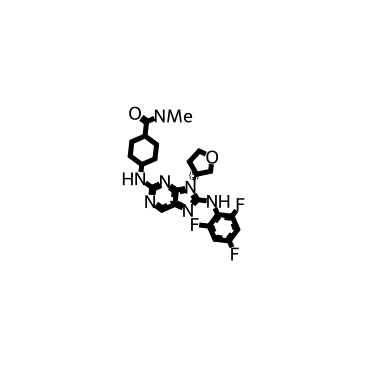 CNC(=O)C1CCC(Nc2ncc3nc(Nc4c(F)cc(F)cc4F)n([C@H]4CCOC4)c3n2)CC1